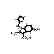 Cc1c(C(=O)O)c2cc(O)ccc2n1Cc1cccs1